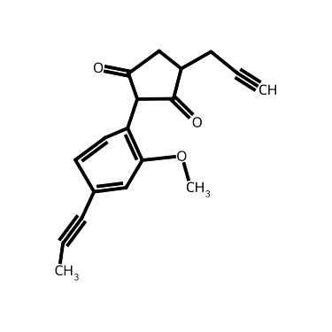 C#CCC1CC(=O)C(c2ccc(C#CC)cc2OC)C1=O